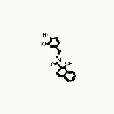 O=C(NN=Cc1ccc(O)c(O)c1)c1ccc2ccccc2c1O